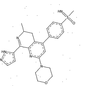 CC1Cc2c(-c3ccc(S(C)(=N)=O)cc3)cc(N3CCOCC3)nc2C(c2ccn[nH]2)=N1